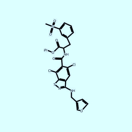 CC(C)OC(=O)C(Cc1cccc(S(C)(=O)=O)c1)NC(=O)c1c(Cl)cc2c(NCc3ccoc3)nsc2c1Cl